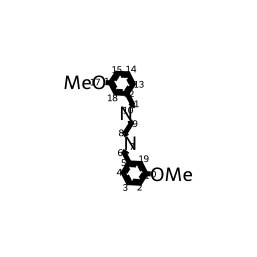 COc1cccc(C=NCCN=Cc2cccc(OC)c2)c1